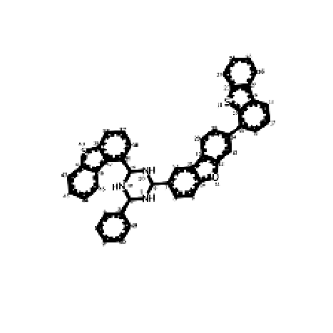 c1ccc(C2NC(c3ccc4oc5cc(-c6cccc7c6sc6ccccc67)ccc5c4c3)NC(c3cccc4sc5ccccc5c34)N2)cc1